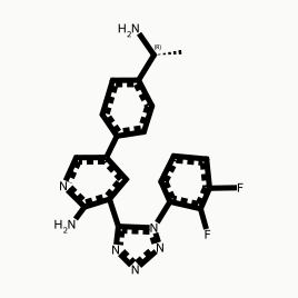 C[C@@H](N)c1ccc(-c2cnc(N)c(-c3nnnn3-c3cccc(F)c3F)c2)cc1